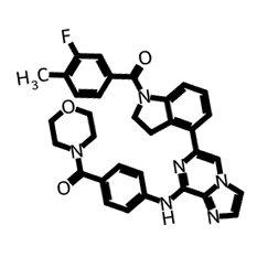 Cc1ccc(C(=O)N2CCc3c(-c4cn5ccnc5c(Nc5ccc(C(=O)N6CCOCC6)cc5)n4)cccc32)cc1F